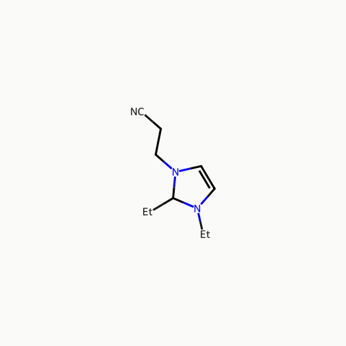 CCC1N(CC)C=CN1CCC#N